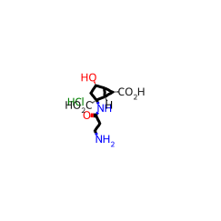 Cl.NCCC(=O)N[C@@]1(C(=O)O)C[C@H](O)C2[C@H](C(=O)O)[C@H]21